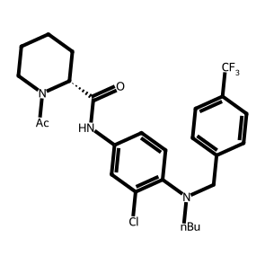 CCCCN(Cc1ccc(C(F)(F)F)cc1)c1ccc(NC(=O)[C@H]2CCCCN2C(C)=O)cc1Cl